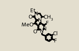 CCN1CC(C)n2c(c(OC)c3c(=O)n(Cc4ccc(F)c(Cl)c4)nc(F)c32)C1=O